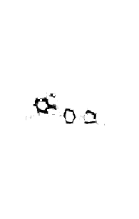 CO[C@@H]1CCN([C@H]2CC[C@H](Nc3ncnc4ccc(C#N)cc34)CC2)C1